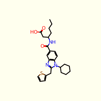 CCCCC(CC(=O)O)NC(=O)c1ccc2c(c1)nc(Cc1cccs1)n2C1CCCCC1